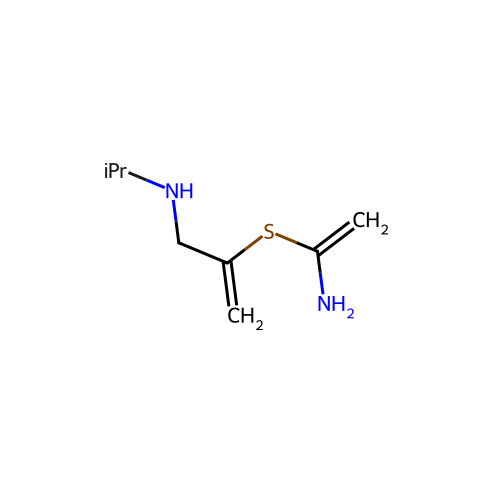 C=C(N)SC(=C)CNC(C)C